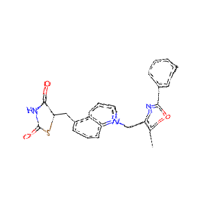 Cc1oc(-c2ccccc2)nc1Cn1ccc2c(CC3SC(=O)NC3=O)cccc21